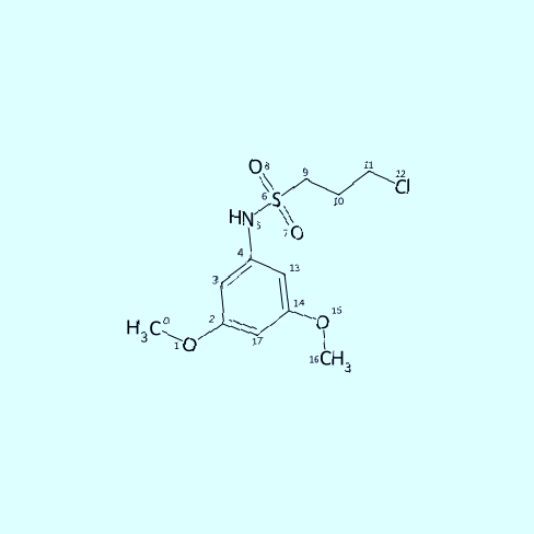 COc1cc(NS(=O)(=O)CCCCl)cc(OC)c1